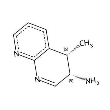 C[C@H]1c2cccnc2N=C[C@H]1N